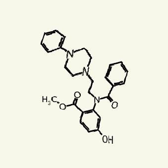 COC(=O)c1ccc(O)cc1N(CCN1CCN(c2ccccc2)CC1)C(=O)c1ccccc1